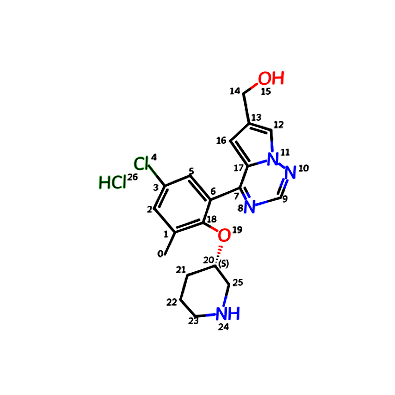 Cc1cc(Cl)cc(-c2ncnn3cc(CO)cc23)c1O[C@H]1CCCNC1.Cl